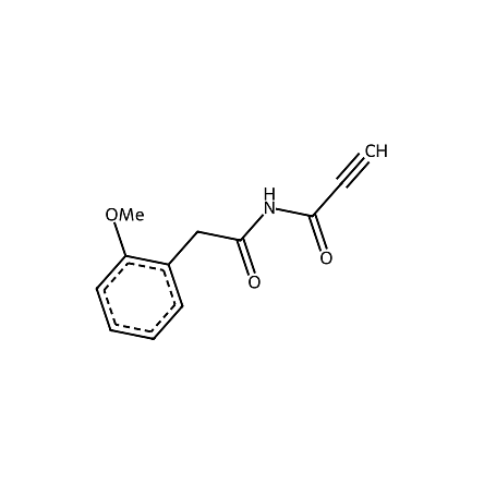 C#CC(=O)NC(=O)Cc1ccccc1OC